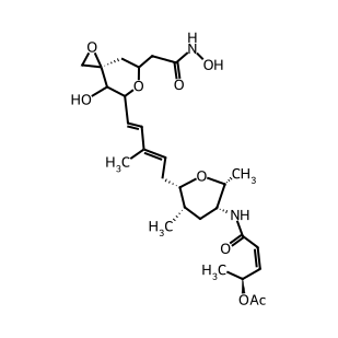 CC(=O)O[C@@H](C)/C=C\C(=O)N[C@@H]1C[C@H](C)[C@H](C/C=C(C)/C=C/C2OC(CC(=O)NO)C[C@@]3(CO3)C2O)O[C@@H]1C